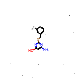 Nc1cc(O)nc(SCc2cccc(C(F)(F)F)c2)n1